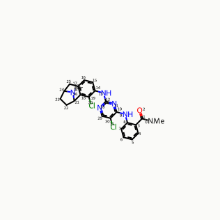 CNC(=O)c1ccccc1Nc1nc(Nc2ccc3c(c2Cl)C2CCC(C3)N2C(C)C)ncc1Cl